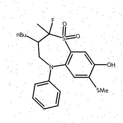 CCCCC1CN(c2ccccc2)c2cc(SC)c(O)cc2S(=O)(=O)C1(C)F